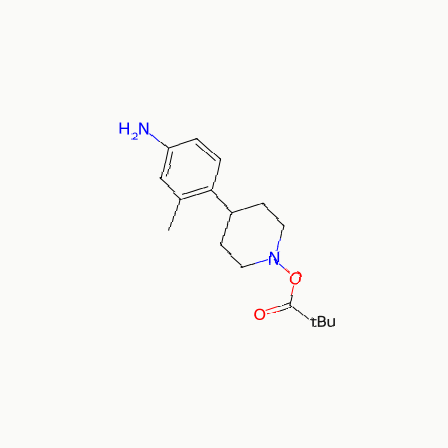 Cc1cc(N)ccc1C1CCN(OC(=O)C(C)(C)C)CC1